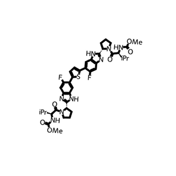 COC(=O)N[C@H](C(=O)N1CCC[C@H]1c1nc2cc(F)c(-c3ccc(-c4cc5[nH]c([C@@H]6CCCN6C(=O)[C@@H](NC(=O)OC)C(C)C)nc5cc4F)s3)cc2[nH]1)C(C)C